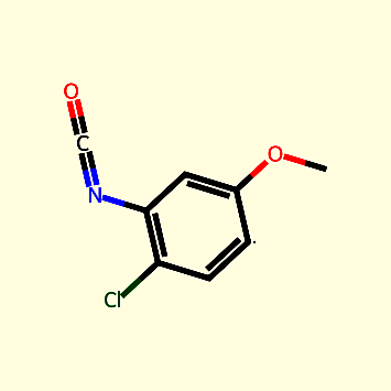 COc1[c]cc(Cl)c(N=C=O)c1